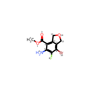 COC(=O)c1c(N)c(F)c(Br)c2c1COC2